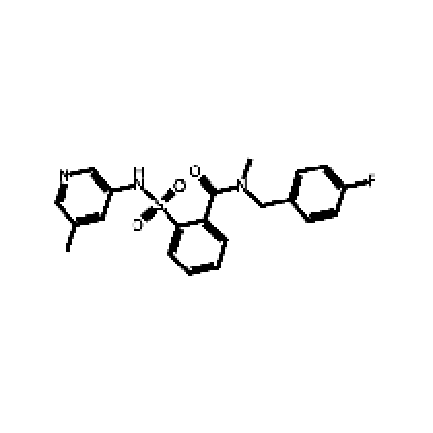 Cc1cncc(NS(=O)(=O)c2ccccc2C(=O)N(C)Cc2ccc(F)cc2)c1